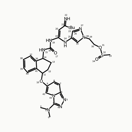 CN(C)c1nnc2ccc(OC3CCC(NC(=O)N/C(=C/C(=N)C(C)(C)C)Nc4cnn(CCOS(C)=O)c4)c4ccccc43)cn12